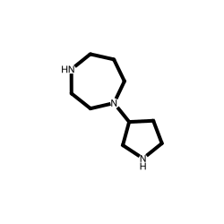 C1CNCCN(C2CCNC2)C1